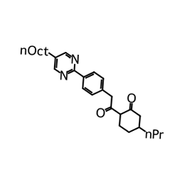 CCCCCCCCc1cnc(-c2ccc(CC(=O)C3CCC(CCC)CC3=O)cc2)nc1